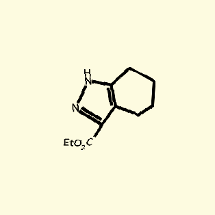 CCOC(=O)c1n[nH]c2c1CCCC2